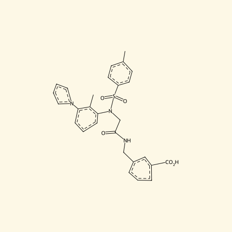 Cc1ccc(S(=O)(=O)N(CC(=O)NCc2cccc(C(=O)O)c2)c2cccc(-n3cccc3)c2C)cc1